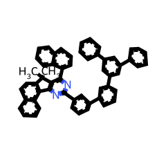 CC1(C)c2ccc3ccccc3c2-c2nc(-c3cccc(-c4cccc(-c5cc(-c6ccccc6)cc(-c6ccccc6)c5)c4)c3)nc(-c3cccc4ccccc34)c21